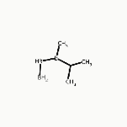 BBB(C)C(C)C